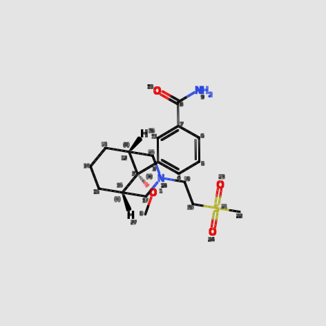 CO[C@@]1(c2cccc(C(N)=O)c2)[C@@H]2CCC[C@H]1CN(CCS(C)(=O)=O)C2